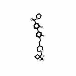 O=C(c1ccc(-c2ccc(CCC3CCN(CC4(C(F)(F)F)CCC4)CC3)c(F)c2)c(F)c1)N1CCCC1